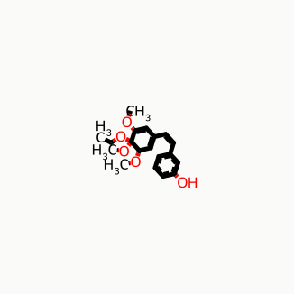 CCOC1(OC)C(OC)=CC(/C=C\c2cccc(O)c2)=CC1OC